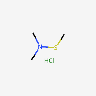 CSN(C)C.Cl